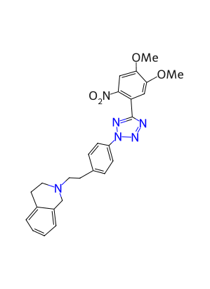 COc1cc(-c2nnn(-c3ccc(CCN4CCc5ccccc5C4)cc3)n2)c([N+](=O)[O-])cc1OC